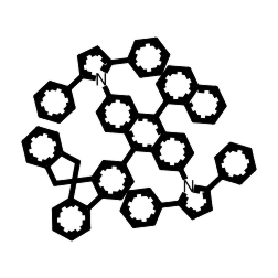 c1ccc(-c2ccc(-c3ccccc3)n2-c2ccc3c(-c4cccc5ccccc45)c4cc(-n5c(-c6ccccc6)ccc5-c5ccccc5)ccc4c(-c4ccc5c(c4)C4(Cc6ccccc6C4)c4ccccc4-5)c3c2)cc1